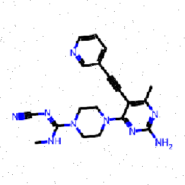 CN/C(=N\C#N)N1CCN(c2nc(N)nc(C)c2C#Cc2cccnc2)CC1